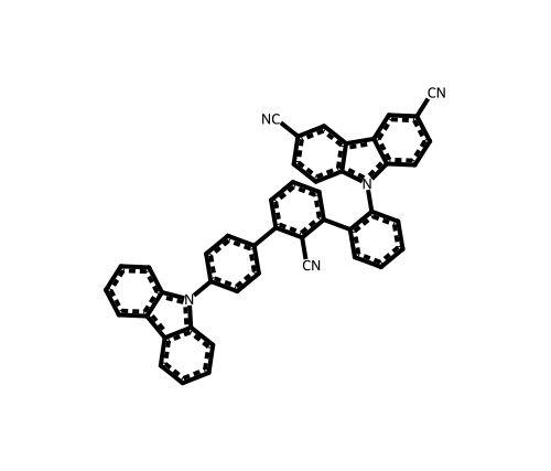 N#Cc1ccc2c(c1)c1cc(C#N)ccc1n2-c1ccccc1-c1cccc(-c2ccc(-n3c4ccccc4c4ccccc43)cc2)c1C#N